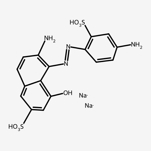 Nc1ccc(N=Nc2c(N)ccc3cc(S(=O)(=O)O)cc(O)c23)c(S(=O)(=O)O)c1.[Na].[Na]